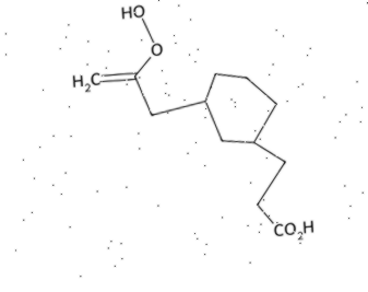 C=C(CC1CCCC(CCC(=O)O)C1)OO